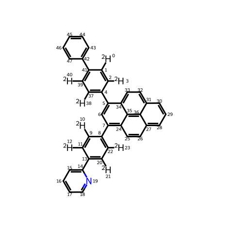 [2H]c1c([2H])c(-c2cc(-c3c([2H])c([2H])c(-c4ccccn4)c([2H])c3[2H])c3ccc4cccc5ccc2c3c54)c([2H])c([2H])c1-c1ccccc1